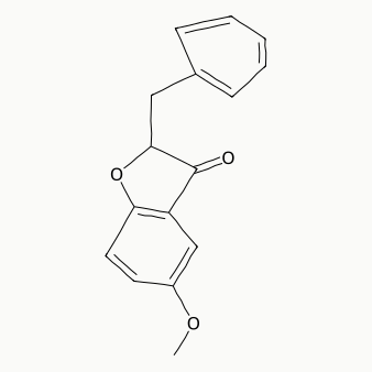 COc1ccc2c(c1)C(=O)C(Cc1ccccc1)O2